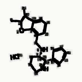 CC1Oc2c(CN[C@H]3CCCN[C@H]3c3ccccc3)cccc2C1C.Cl